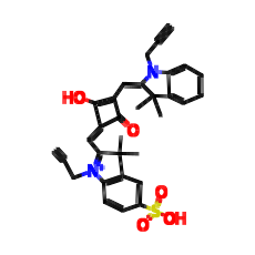 C#CCN1/C(=C/C2=C(O)C(=C/C3=[N+](CC#C)c4ccc(S(=O)(=O)O)cc4C3(C)C)/C2=O)C(C)(C)c2ccccc21